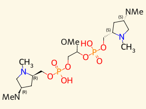 CN[C@@H]1C[C@H](COP(=O)(O)OCC(OC)OP(=O)(O)OC[C@@H]2C[C@H](NC)CN2C)N(C)C1